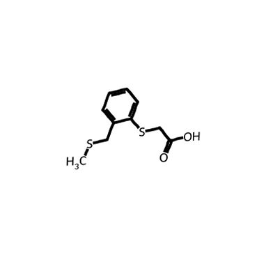 CSCc1ccccc1SCC(=O)O